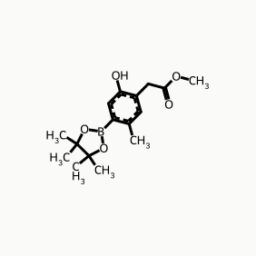 COC(=O)Cc1cc(C)c(B2OC(C)(C)C(C)(C)O2)cc1O